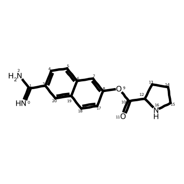 N=C(N)c1ccc2cc(OC(=O)C3CCCN3)ccc2c1